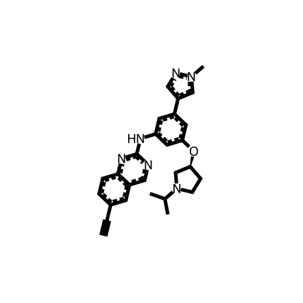 C#Cc1ccc2nc(Nc3cc(O[C@H]4CCN(C(C)C)C4)cc(-c4cnn(C)c4)c3)ncc2c1